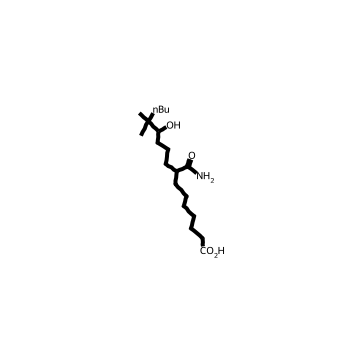 CCCCC(C)(C)C(O)CCCC(CCCCCCC(=O)O)C(N)=O